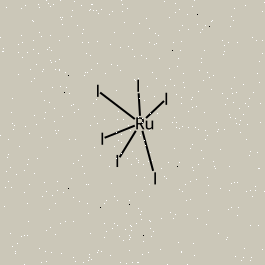 [I][Ru]([I])([I])([I])([I])[I]